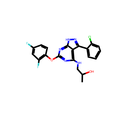 CC(O)CNc1nc(Oc2ccc(F)cc2F)nc2[nH]nc(-c3ccccc3Cl)c12